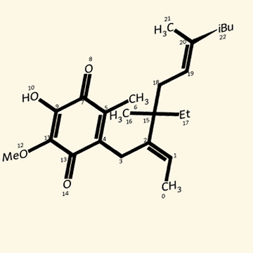 C/C=C(\CC1=C(C)C(=O)C(O)=C(OC)C1=O)C(C)(CC)C/C=C(\C)[C@H](C)CC